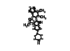 Cc1c(-c2[nH]c3sc(C4CCNCC4)cc3c2C(C)C)cn2ncnc2c1C